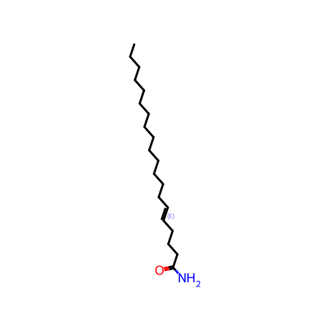 CCCCCCCCCCCCCC/C=C/CCCC(N)=O